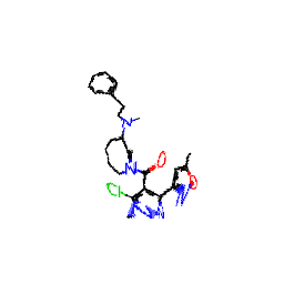 Cc1cc(-c2nn(C)c(Cl)c2C(=O)N2CCCCC(N(C)CCc3ccccc3)C2)no1